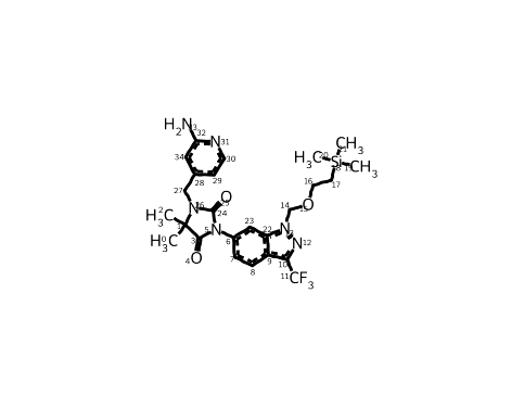 CC1(C)C(=O)N(c2ccc3c(C(F)(F)F)nn(COCC[Si](C)(C)C)c3c2)C(=O)N1Cc1ccnc(N)c1